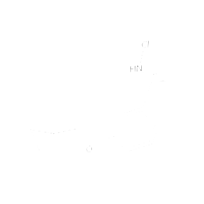 C[C@@H](NCl)c1cccc(OCC2CC2)c1